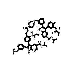 C=CC(=O)Nc1cc(-c2c(-c3cccc(CN4CCN(C(=O)CCc5ccc(-c6c(-c7cccc(CN(C)C)c7)[nH]c7ncc(C(=O)OC(C)C)cc67)cc5NC(=O)C=C)CC4)c3)[nH]c3ncc(C(=O)OC(C)C)cc23)ccc1C